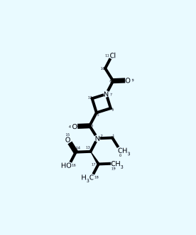 CCN(C(=O)C1CN(C(=O)CCl)C1)[C@H](C(=O)O)C(C)C